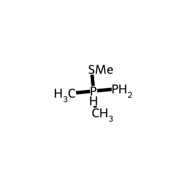 CS[PH](C)(C)P